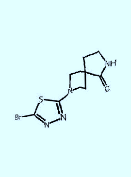 O=C1NCCC12CN(c1nnc(Br)s1)C2